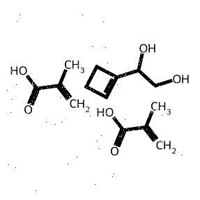 C=C(C)C(=O)O.C=C(C)C(=O)O.OCC(O)C1=CCC1